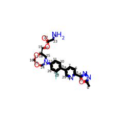 Cc1nnc(-c2ccc(-c3ccc(N4COCO[C@@H](COC(=O)CN)C4)cc3F)cn2)o1